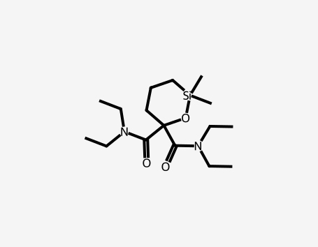 CCN(CC)C(=O)C1(C(=O)N(CC)CC)CCC[Si](C)(C)O1